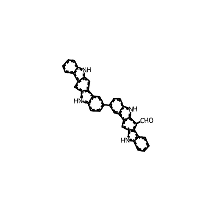 O=Cc1c2[nH]c3ccc(-c4ccc5[nH]c6cc7c(cc6c5c4)[nH]c4ccccc47)cc3c2cc2[nH]c3ccccc3c12